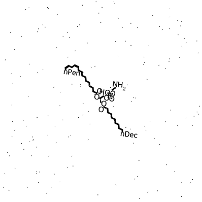 CCCCC/C=C\C/C=C\CCCCCCCCCC(=O)O[C@H](COC(=O)CCCCCCCCCCCCCCCCCCC)COP(=O)(O)OCCN